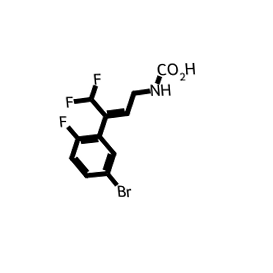 O=C(O)NCC=C(c1cc(Br)ccc1F)C(F)F